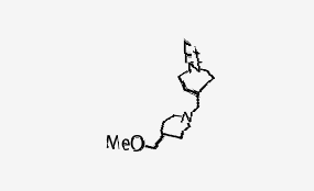 CCN1CCC(CN2CCC(COC)CC2)CC1